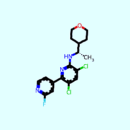 C[C@H](Nc1nc(-c2ccnc(F)c2)c(Cl)cc1Cl)C1CCOCC1